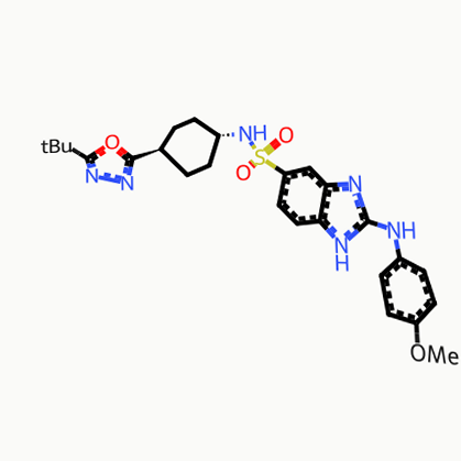 COc1ccc(Nc2nc3cc(S(=O)(=O)N[C@H]4CC[C@H](c5nnc(C(C)(C)C)o5)CC4)ccc3[nH]2)cc1